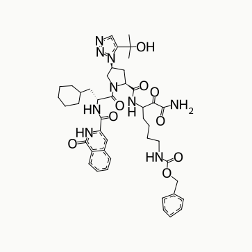 CC(C)(O)c1cnnn1[C@H]1C[C@@H](C(=O)NC(CCCCNC(=O)OCc2ccccc2)C(=O)C(N)=O)N(C(=O)[C@@H](CC2CCCCC2)NC(=O)c2cc3ccccc3c(=O)[nH]2)C1